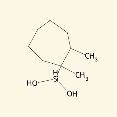 CC1CCCCCC1(C)[SiH](O)O